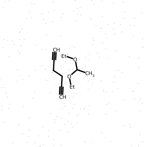 C#CCCC#C.CCOC(C)OCC